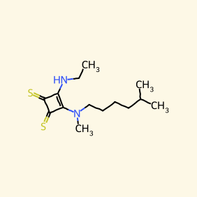 CCNc1c(N(C)CCCCC(C)C)c(=S)c1=S